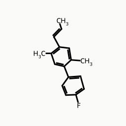 C/C=C/c1cc(C)c(-c2ccc(F)cc2)cc1C